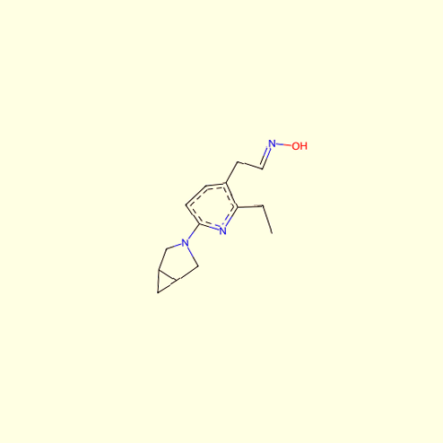 CCc1nc(N2CC3CC3C2)ccc1CC=NO